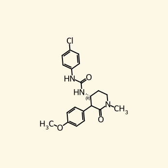 COc1ccc(C2C(=O)N(C)CC[C@H]2NC(=O)Nc2ccc(Cl)cc2)cc1